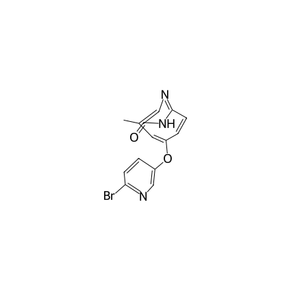 CC1=C\N=C(NC=O)\C=C/C(Oc2ccc(Br)nc2)=C\1